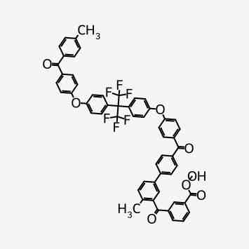 Cc1ccc(C(=O)c2ccc(Oc3ccc(C(c4ccc(Oc5ccc(C(=O)c6ccc(-c7ccc(C)c(C(=O)c8cccc(C(=O)OO)c8)c7)cc6)cc5)cc4)(C(F)(F)F)C(F)(F)F)cc3)cc2)cc1